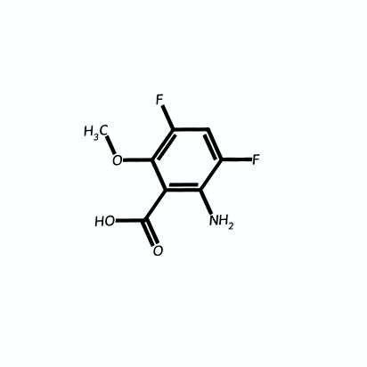 COc1c(F)cc(F)c(N)c1C(=O)O